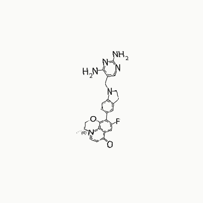 C[C@@H]1COc2c(-c3ccc4c(c3)CCN4Cc3cnc(N)nc3N)c(F)cc3c(=O)ccn1c23